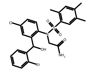 CCc1ccccc1C(O)c1cc(Cl)ccc1N(CC(N)=O)S(=O)(=O)c1cc(C)c(C)cc1C